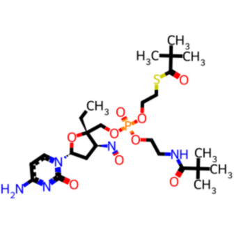 CC[C@]1(COP(=O)(OCCNC(=O)C(C)(C)C)OCCSC(=O)C(C)(C)C)O[C@@H](n2ccc(N)nc2=O)C[C@@H]1N=O